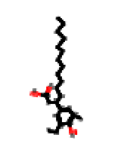 CCCCCCCCCCCCC(CC(=O)O)c1cc(C)c(O)c(CC)c1